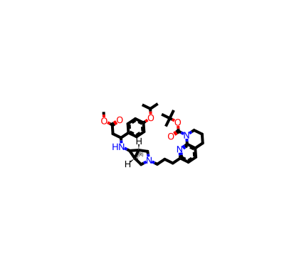 COC(=O)CC(NC1[C@H]2CN(CCCc3ccc4c(n3)N(C(=O)OC(C)(C)C)CCC4)C[C@@H]12)c1ccc(OC(C)C)cc1